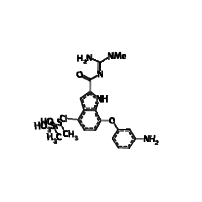 CNC(N)=NC(=O)c1cc2c(Cl)ccc(Oc3cccc(N)c3)c2[nH]1.CS(=O)(=O)O.CS(=O)(=O)O